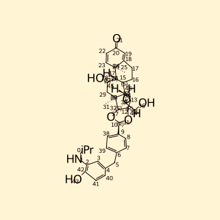 CC(C)Nc1cc(Cc2ccc([C@@H]3O[C@@H]4C[C@H]5[C@@H]6CCC7=CC(=O)C=C[C@]7(C)[C@H]6[C@@H](O)C[C@]5(C)[C@]4(C(=O)CO)O3)cc2)ccc1O